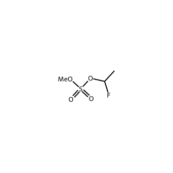 COS(=O)(=O)OC(C)F